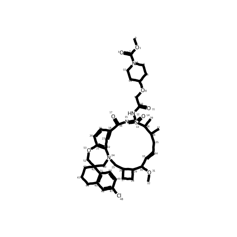 COC(=O)N1CCC(OCC(=O)NS2(=O)=NC(=O)c3ccc4c(c3)N(CC3CCC3C(OC)/C=C/CC(C)C2C)CC2(CCCc3cc(Cl)ccc32)CO4)CC1